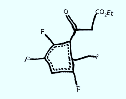 CCOC(=O)CC(=O)c1c(F)c(F)cc(F)c1F